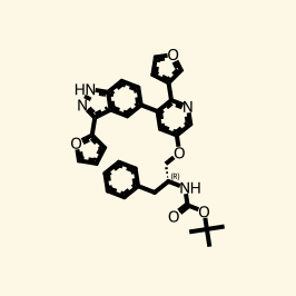 CC(C)(C)OC(=O)N[C@@H](COc1cnc(-c2ccoc2)c(-c2ccc3[nH]nc(-c4ccco4)c3c2)c1)Cc1ccccc1